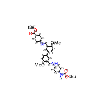 COc1ccc(-c2ccc(OC)c(CN[C@H]3CC[C@H](N(C)C(=O)OC(C)(C)C)CC3)c2)cc1CN[C@H]1CC[C@H](C(=O)OC(C)(C)C)CC1